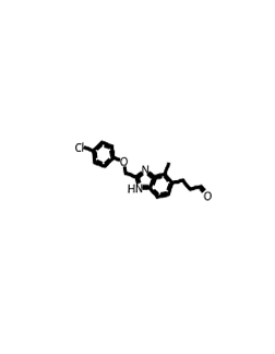 Cc1c(CCC=O)ccc2[nH]c(COc3ccc(Cl)cc3)nc12